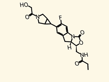 CCC(=O)NC[C@@H]1OC(=O)N2c3cc(F)c(C4C5CN(C(=O)CO)CC54)cc3C[C@@H]12